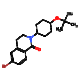 CC(C)(C)[Si](C)(C)OC1CCC(N2CCc3cc(Br)ccc3C2=O)CC1